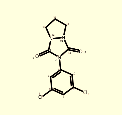 O=c1n(-c2cc(Cl)cc(Cl)c2)c(=O)n2n1CCC2